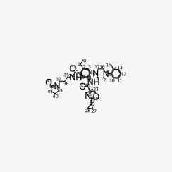 CCc1cc(N2CCN(c3ccccc3C)CC2)c(NC(=O)c2coc(C3CC3)n2)cc1C(=O)NCCCN1CCCC1=O